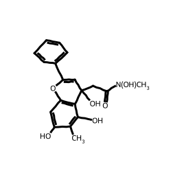 Cc1c(O)cc2c(c1O)C(O)(CC(=O)N(C)O)C=C(c1ccccc1)O2